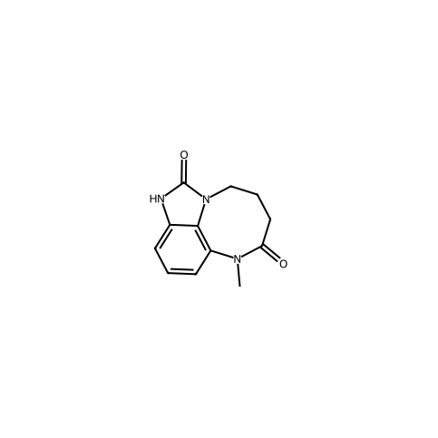 CN1C(=O)CCCn2c(=O)[nH]c3cccc1c32